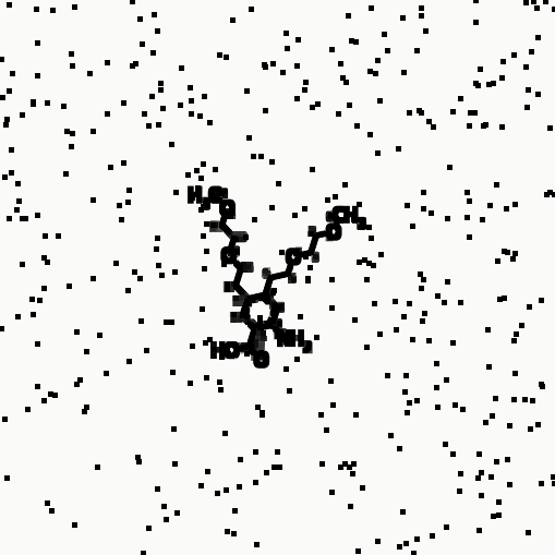 COCCOCCc1cc(N)c(C(=O)O)cc1CCOCCOC